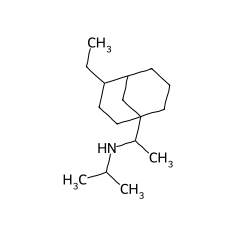 CCC1CCC2(C(C)NC(C)C)CCCC1C2